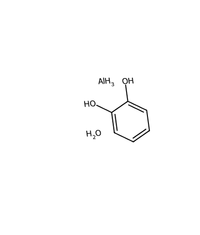 O.Oc1ccccc1O.[AlH3]